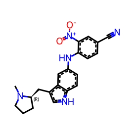 CN1CCC[C@@H]1Cc1c[nH]c2ccc(Nc3ccc(C#N)cc3[N+](=O)[O-])cc12